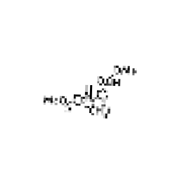 COCCNC(=O)c1cccc(C2Nc3ccc(C(=O)OC)cc3CC2(C)C)c1